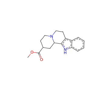 COC(=O)C1CCN2CCc3c([nH]c4ccccc34)C2C1